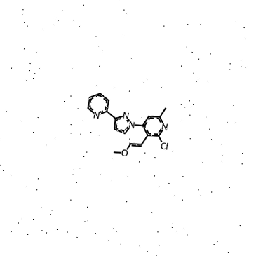 COC=Cc1c(-n2ccc(-c3ccccn3)n2)cc(C)nc1Cl